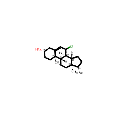 CC(=O)[C@H]1CC[C@H]2[C@@H]3C(Cl)C=C4C[C@@H](O)CC[C@]4(C)[C@H]3CC[C@]12C